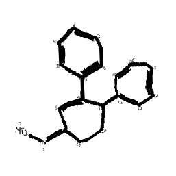 ON=C1C=C(c2ccccc2)C(c2ccccc2)CC1